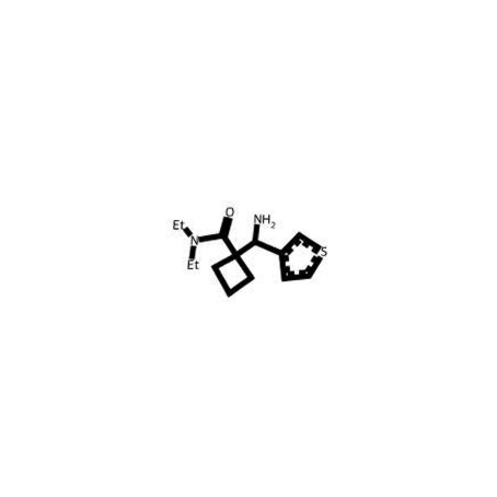 CCN(CC)C(=O)C1(C(N)c2ccsc2)CCC1